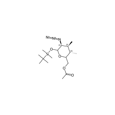 CC(=O)OCC1OC(O[Si](C)(C)C(C)(C)C)[C@@H](N=[N+]=[N-])[C@@H](C)[C@@H]1C